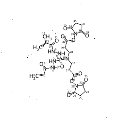 C=CC(=O)NNP(=O)(NNC(=O)C(=C)C)N(CCC(=O)ON1C(=O)CCC1=O)CCC(=O)ON1C(=O)CCC1=O